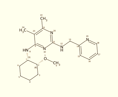 CO[C@@H]1CCCC[C@@H]1Nc1nc(NCc2ccccn2)nc(C)c1C